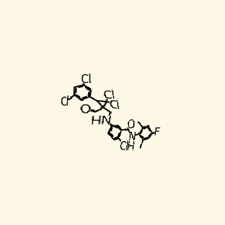 Cc1cc(F)cc(C)c1NC(=O)c1cc(NCC2(C=O)C(c3cc(Cl)cc(Cl)c3)C2(Cl)Cl)ccc1Cl